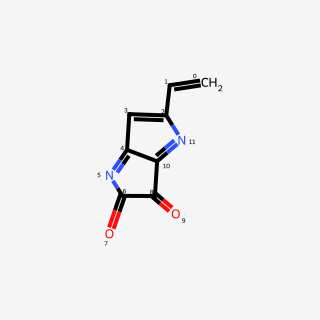 C=Cc1cc2nc(=O)c(=O)c-2n1